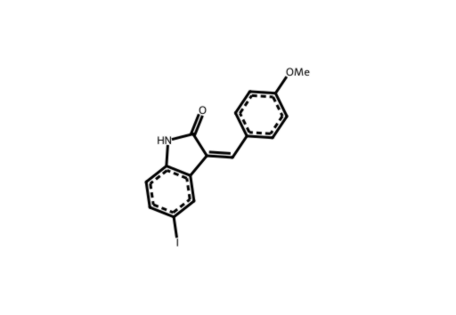 COc1ccc(C=C2C(=O)Nc3ccc(I)cc32)cc1